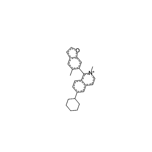 Cc1cc2ccoc2cc1-c1c2ccc(C3CCCCC3)cc2cc[n+]1C